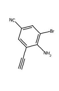 C#Cc1cc(C#N)cc(Br)c1N